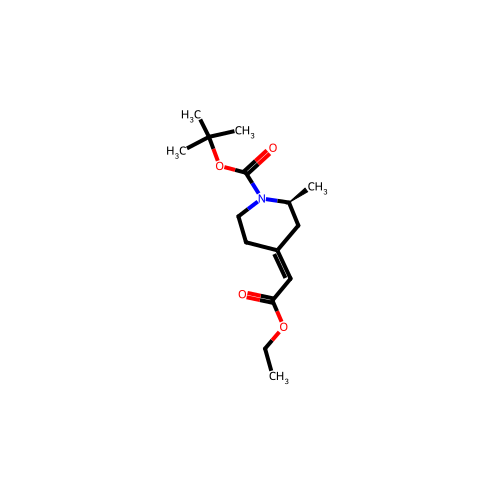 CCOC(=O)C=C1CCN(C(=O)OC(C)(C)C)[C@@H](C)C1